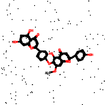 COc1cc2oc(-c3ccc(O)cc3)cc(=O)c2c(O)c1Oc1ccc(-c2cc(=O)c3c(O)cc(O)cc3o2)cc1